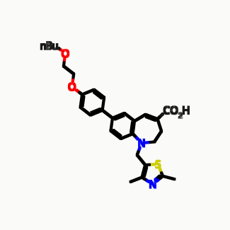 CCCCOCCOc1ccc(-c2ccc3c(c2)C=C(C(=O)O)CCN3Cc2sc(C)nc2C)cc1